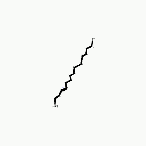 OCC/C=C/CCCCCCCCCCI